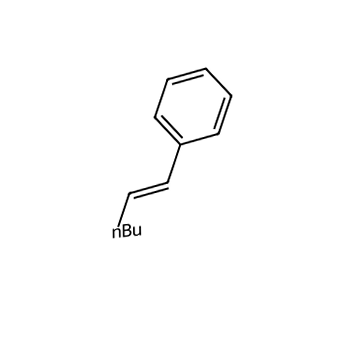 CCCC/C=C/c1ccccc1